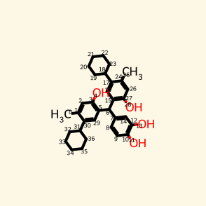 Cc1cc(O)c(C(c2ccc(O)c(O)c2)c2cc(C3CCCCC3)c(C)cc2O)cc1C1CCCCC1